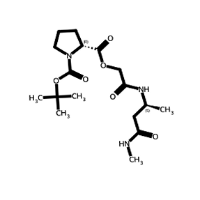 CNC(=O)C[C@H](C)NC(=O)COC(=O)[C@H]1CCCN1C(=O)OC(C)(C)C